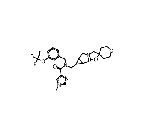 Cn1cnc(C(=O)N(Cc2cccc(OC(F)(F)F)c2)CC2C3CN(CC4(O)CCOCC4)CC32)c1